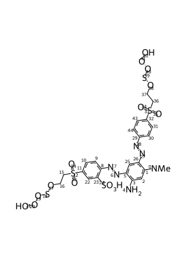 CNc1cc(N)c(/N=N/c2ccc(S(=O)(=O)CCOSOOO)cc2S(=O)(=O)O)cc1/N=N/c1ccc(S(=O)(=O)CCOSOOO)cc1